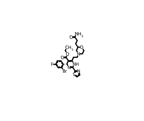 CCOC(=O)C1=C(CCN2CCOC(CCC(N)=O)C2)NC(c2nccs2)=N[C@@H]1c1ccc(F)cc1Br